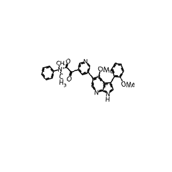 COc1ccccc1-c1c[nH]c2ncc(-c3cncc(C(=O)C(=O)[N+](C)(C)c4ccccc4)c3)c(OC)c12